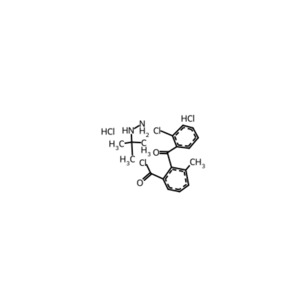 CC(C)(C)NN.Cc1cccc(C(=O)Cl)c1C(=O)c1ccccc1Cl.Cl.Cl